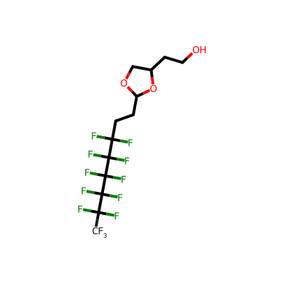 OCCC1COC(CCC(F)(F)C(F)(F)C(F)(F)C(F)(F)C(F)(F)C(F)(F)F)O1